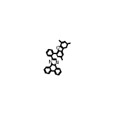 CC1=CC(C)Cc2c1oc1c(-c3ccccc3-c3cnc4c5ccccc5c5ccccc5c4n3)cc(C)cc21